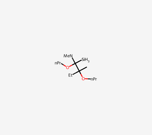 CCCOC(C)(CC)C([SiH3])(NC)OCCC